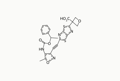 Cc1onc(C#Cc2nc3sc(C4(C(=O)O)COC4)nc3s2)c1NC(=O)OC(C)c1ccccc1